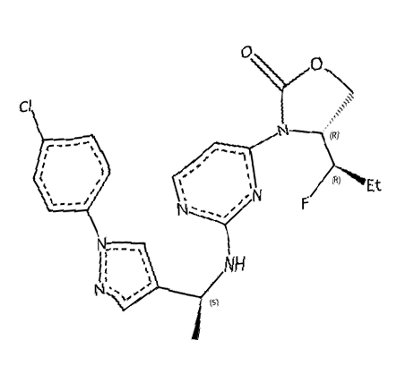 CC[C@@H](F)[C@H]1COC(=O)N1c1ccnc(N[C@@H](C)c2cnn(-c3ccc(Cl)cc3)c2)n1